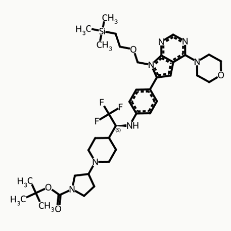 CC(C)(C)OC(=O)N1CCC(N2CCC([C@H](Nc3ccc(-c4cc5c(N6CCOCC6)ncnc5n4COCC[Si](C)(C)C)cc3)C(F)(F)F)CC2)C1